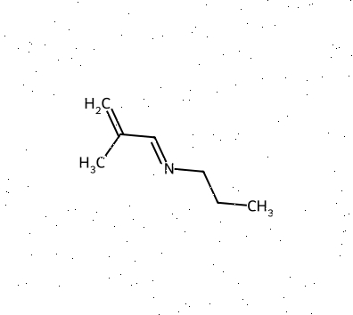 C=C(C)C=NCCC